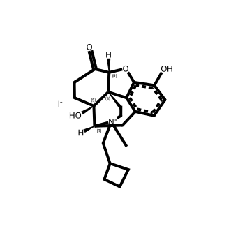 C[N+]1(CC2CCC2)CC[C@]23c4c5ccc(O)c4O[C@H]2C(=O)CC[C@@]3(O)[C@H]1C5.[I-]